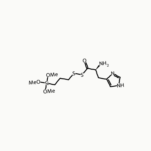 CO[Si](CCCSSC(=O)[C@@H](N)Cc1c[nH]cn1)(OC)OC